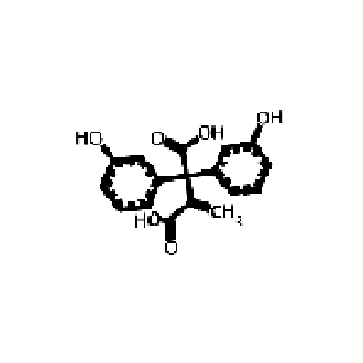 C=C(C(=O)O)C(C(=O)O)(c1cccc(O)c1)c1cccc(O)c1